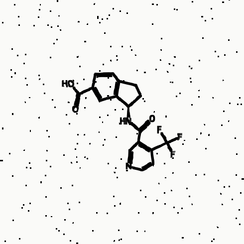 O=C(O)c1ccc2c(c1)[C@H](NC(=O)c1cnccc1C(F)(F)F)CC2